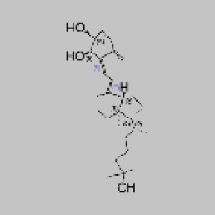 C=C1CC[C@H](O)[C@H](O)/C1=C/C=C1\CCC[C@]2(C)[C@@H]([C@H](C)CCCC(C)(C)O)CC[C@@H]12